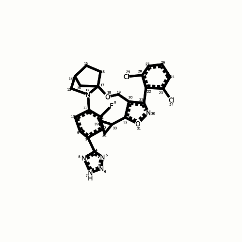 Fc1cc(-c2nn[nH]n2)ccc1N1CC2CCC1(OCc1c(-c3c(Cl)cccc3Cl)noc1C1CC1)C2